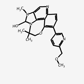 COCc1ccc(-c2ccc3ncc4c5c3c2OCC(C)(C)N5C(O)N4C)cn1